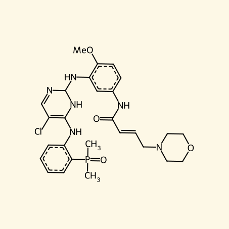 COc1ccc(NC(=O)/C=C/CN2CCOCC2)cc1NC1N=CC(Cl)=C(Nc2ccccc2P(C)(C)=O)N1